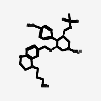 COCCCN1CCOc2ccc(CO[C@H]3CN(C(=O)O)C[C@@H](COS(C)(=O)=O)[C@@H]3c3ccc(OC)cc3)cc21